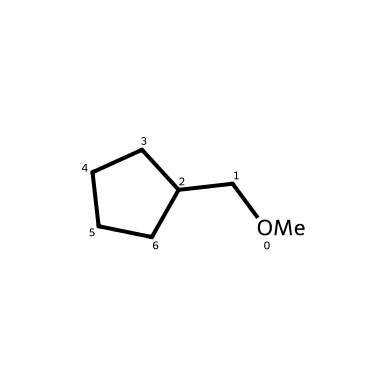 [C]OCC1CCCC1